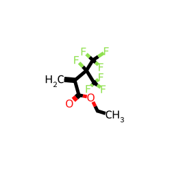 C=C(C(=O)OCC)C(F)(C(F)(F)F)C(F)(F)F